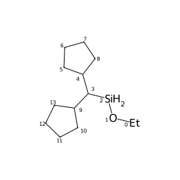 CCO[SiH2]C(C1CCCC1)C1CCCC1